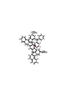 CC(C)(C)c1cc(N(c2ccccc2)c2ccccc2)c2c(c1)c1c3ccccc3cc3c4cc5c(nc4n2c31)c1cc(C(C)(C)C)cc2c3c4ccccc4ccc3n5c12